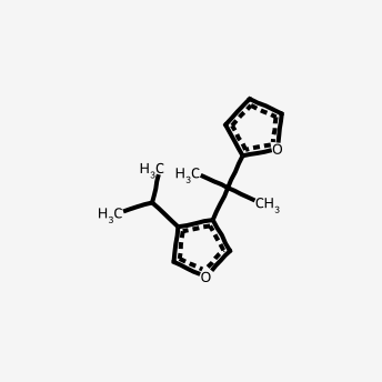 CC(C)c1cocc1C(C)(C)c1ccco1